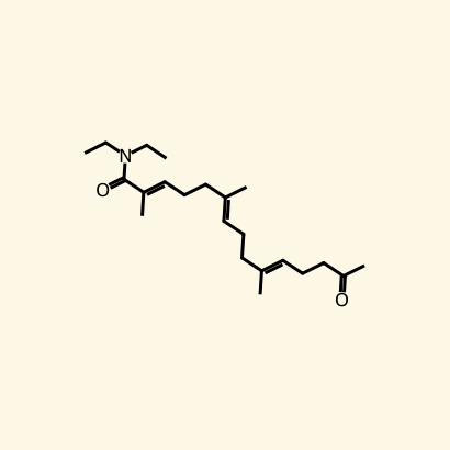 CCN(CC)C(=O)C(C)=CCCC(C)=CCCC(C)=CCCC(C)=O